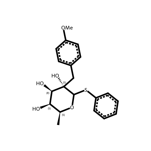 COc1ccc(C[C@@]2(O)C(Sc3ccccc3)O[C@@H](C)[C@@H](O)[C@H]2O)cc1